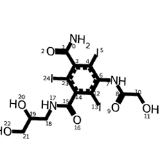 NC(=O)c1c(I)c(NC(=O)CO)c(I)c(C(=O)NCC(O)CO)c1I